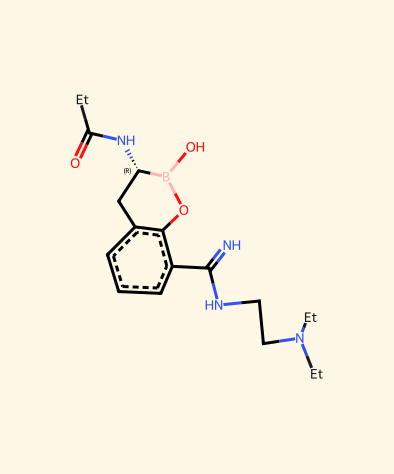 CCC(=O)N[C@H]1Cc2cccc(C(=N)NCCN(CC)CC)c2OB1O